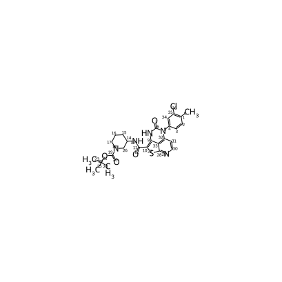 Cc1ccc(N2C(=O)Nc3c(C(=O)NC4CCCN(C(=O)OC(C)(C)C)C4)sc4nccc2c34)cc1Cl